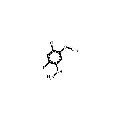 COc1cc(NN)c(F)cc1Cl